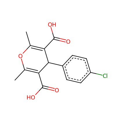 CC1=C(C(=O)O)C(c2ccc(Cl)cc2)C(C(=O)O)=C(C)O1